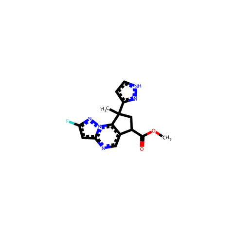 COC(=O)C1CC(C)(c2cc[nH]n2)c2c1cnc1cc(F)nn21